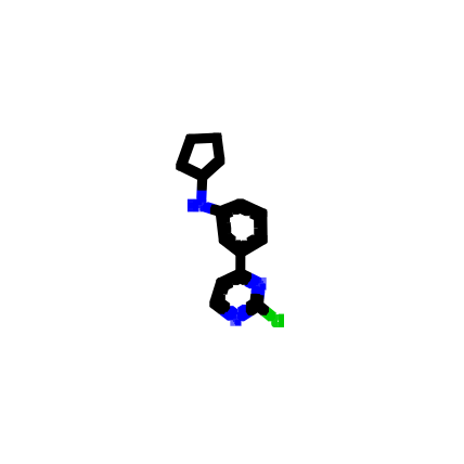 Clc1nccc(-c2cccc(NC3CCCC3)c2)n1